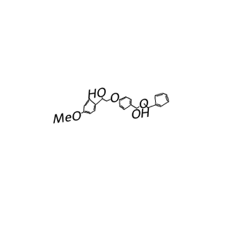 COc1ccc(C(O)COc2ccc(C(O)OCc3ccccc3)cc2)cc1